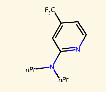 CCCN(CCC)c1cc(C(F)(F)F)ccn1